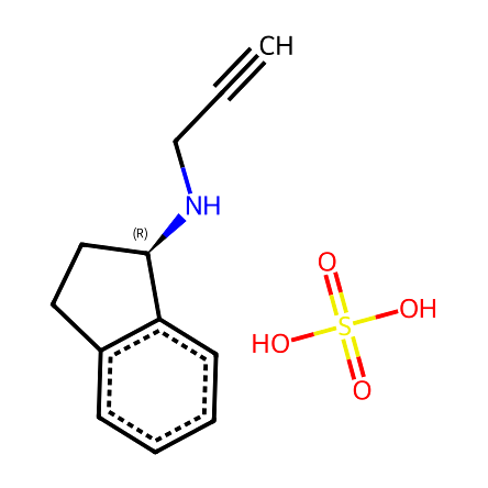 C#CCN[C@@H]1CCc2ccccc21.O=S(=O)(O)O